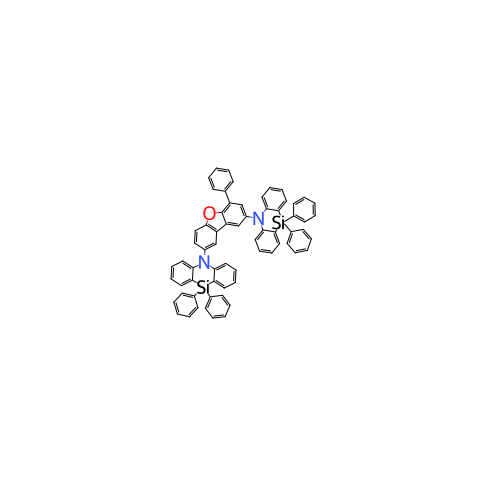 c1ccc(-c2cc(N3c4ccccc4[Si](c4ccccc4)(c4ccccc4)c4ccccc43)cc3c2oc2ccc(N4c5ccccc5[Si](c5ccccc5)(c5ccccc5)c5ccccc54)cc23)cc1